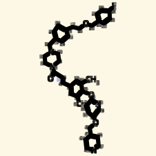 Cc1cc(/C=C/C(=O)N2CCN(Cc3ccc(CCOCc4ccc(F)cc4)cc3)CC2)cc(C)c1Oc1ccc(OCc2ccncc2)cn1